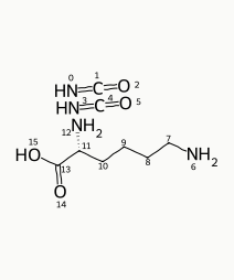 N=C=O.N=C=O.NCCCC[C@@H](N)C(=O)O